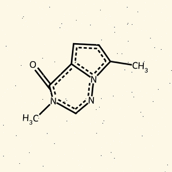 Cc1ccc2c(=O)n(C)cnn12